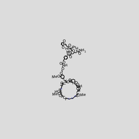 CO[C@H]1C[C@@H]2CC[C@@H](C)[C@@](O)(O2)C(=O)C(=O)N2CCCC[C@H]2C(=O)O[C@H]([C@@H](C)C[C@H]2CC[C@@H](OCCOCNC(=O)OCc3ccc(NC(=O)[C@H](CCCNC(N)=O)NC(=O)[C@@H](NC(=O)CCN4C(=O)C=CC4=O)C(C)C)cc3)[C@H](OC)C2)CC(=O)[C@H](C)/C=C(\C)[C@@H](O)[C@@H](OC)C(=O)[C@H](C)C[C@H](C)/C=C/C=C/C=C/1C